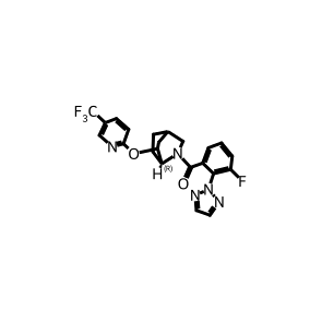 O=C(c1cccc(F)c1-n1nccn1)N1CC2CC[C@@H]1C(Oc1ccc(C(F)(F)F)cn1)C2